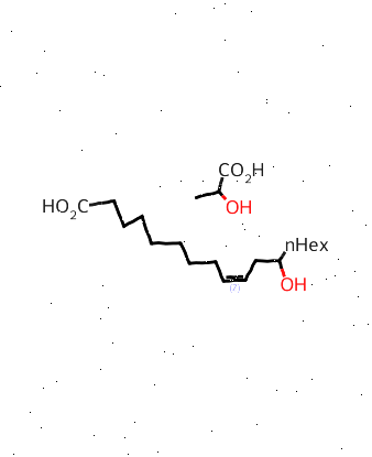 CC(O)C(=O)O.CCCCCCC(O)C/C=C\CCCCCCCC(=O)O